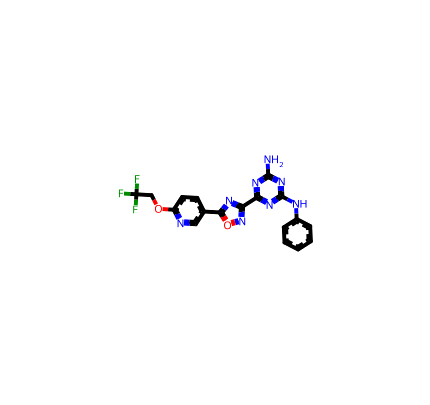 Nc1nc(Nc2ccccc2)nc(-c2noc(-c3ccc(OCC(F)(F)F)nc3)n2)n1